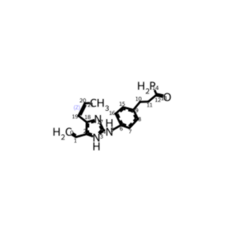 C=Cc1[nH]c(Nc2ccc(CCC(=O)P)cc2)nc1/C=C\C